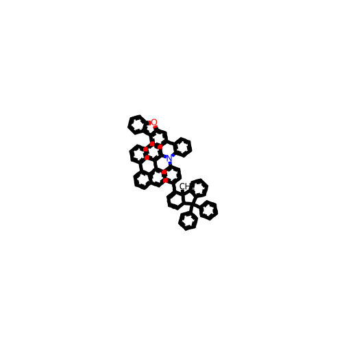 CC12C(c3ccc(N(c4ccccc4-c4ccc5c(c4)oc4ccccc45)c4ccccc4-c4cccc5cccc(-c6ccccc6)c45)cc3)=CC=CC1C(c1ccccc1)(c1ccccc1)c1ccccc12